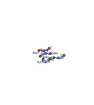 C=C(CN1CCN(c2nc(-c3ccc(Cl)cc3)ns2)CC1)c1ccc(OC)cc1.COc1ccc(CCN2CCN(c3nc(-c4ccccc4Cl)ns3)CC2)cc1.COc1cccc(C(=O)CN2CCN(c3nc(-c4ccc(Cl)cc4)ns3)CC2)c1.COc1cccc(CCN2CCN(c3nc(-c4ccccc4Cl)ns3)CC2)c1